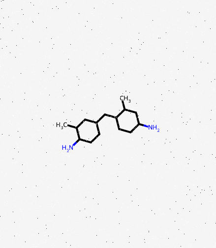 CC1CC(CC2CCC(N)CC2C)CCC1N